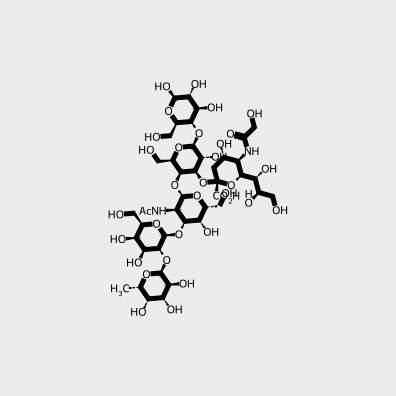 CC(=O)N[C@H]1[C@H](O[C@@H]2[C@H](O[C@]3(C(=O)O)C[C@H](O)[C@@H](NC(=O)CO)[C@H]([C@H](O)[C@H](O)CO)O3)[C@@H](O)[C@H](O[C@H]3[C@H](O)[C@@H](O)[C@H](O)O[C@@H]3CO)O[C@@H]2CO)O[C@H](CO)[C@H](O)[C@@H]1O[C@@H]1O[C@H](CO)[C@H](O)[C@H](O)[C@H]1O[C@@H]1O[C@@H](C)[C@@H](O)[C@@H](O)[C@@H]1O